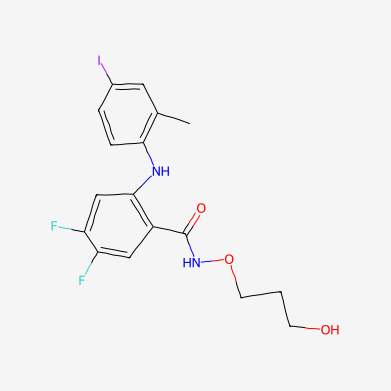 Cc1cc(I)ccc1Nc1cc(F)c(F)cc1C(=O)NOCCCO